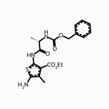 CCOC(=O)c1c(NC(=O)[C@H](C)NC(=O)OCc2ccccc2)sc(N)c1C